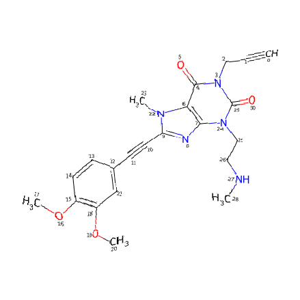 C#CCn1c(=O)c2c(nc(C#Cc3ccc(OC)c(OC)c3)n2C)n(CCNC)c1=O